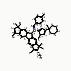 CC1=CC(C)(C)c2cc3c(cc21)-c1cc2c(cc1[CH]3/[Zr+2](=[CH]/c1ccc(C)cc1)[C]1=CC(C3(C)CCCCC3)=CC1C)C(C)(C)C=C2C.[Cl-].[Cl-]